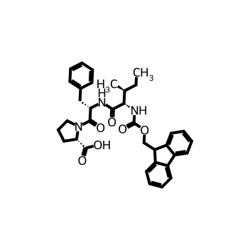 CC[C@H](C)[C@H](NC(=O)OCC1c2ccccc2-c2ccccc21)C(=O)N[C@@H](Cc1ccccc1)C(=O)N1CCC[C@H]1C(=O)O